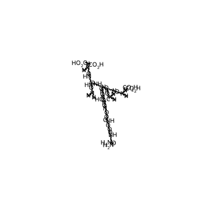 CN(C)CCN(CCCOCN[C@@H](CCCCNCOCCCN(CCN(C)C)CCN(CC(=O)O)CC(=O)O)OCNCCCC[C@H](N=CO[C@H](CCCCN=COCCCN(CCN(C)C)CCN(CC(=O)O)CC(=O)O)N=COCC[C@@H](C(=O)O)N(CCN(C)C)CCN(C)C)OC=NCOC=NCOC=NCOC=NCCOCCOCC(=O)NCCOCCOCOCNCCCC[C@H](N)C(N)=O)CCN(C)C